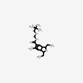 CCC1OC(CC)C2C3CC(C(C)C3C(=O)OCOCC(C)(C)C)C12